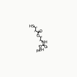 O=C(CCS)OCCNC(=O)OPF